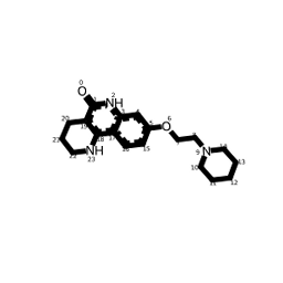 O=c1[nH]c2cc(OCCN3CCCCC3)ccc2c2c1CCCN2